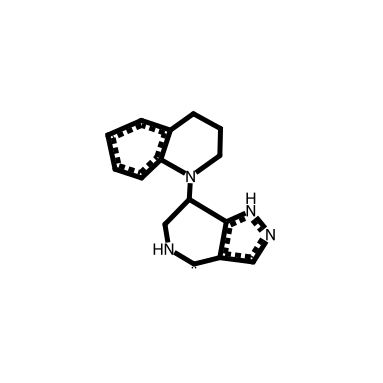 [C]1NCC(N2CCCc3ccccc32)c2[nH]ncc21